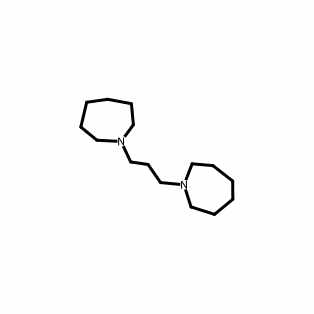 C1CCCN(CCCN2CCCCCC2)CC1